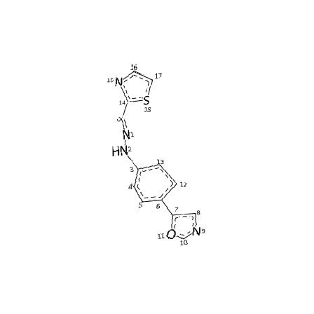 C(=NNc1ccc(-c2cnco2)cc1)c1nccs1